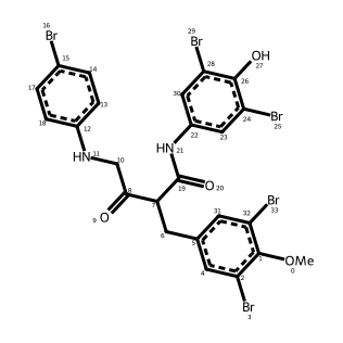 COc1c(Br)cc(CC(C(=O)CNc2ccc(Br)cc2)C(=O)Nc2cc(Br)c(O)c(Br)c2)cc1Br